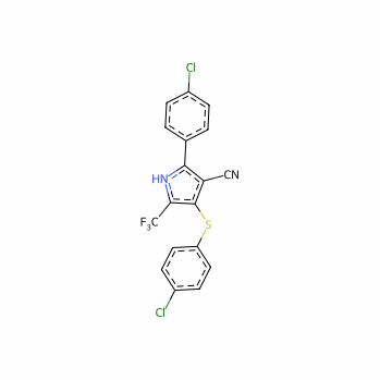 N#Cc1c(-c2ccc(Cl)cc2)[nH]c(C(F)(F)F)c1Sc1ccc(Cl)cc1